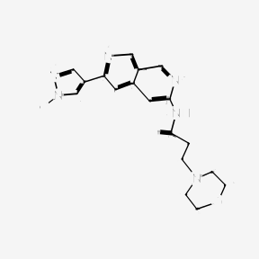 Cn1cc(-c2cc3cc(NC(=O)CCN4CCOCC4)ncc3cn2)cn1